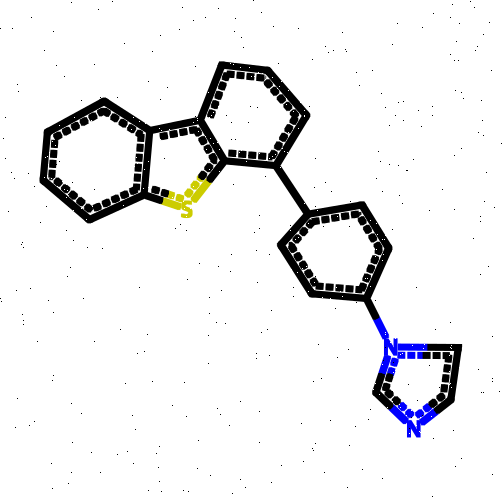 c1ccc2c(c1)sc1c(-c3ccc(-n4ccnc4)cc3)cccc12